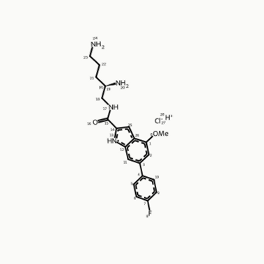 COc1cc(-c2ccc(F)cc2)cc2[nH]c(C(=O)NC[C@H](N)CCCN)cc12.[Cl-].[H+]